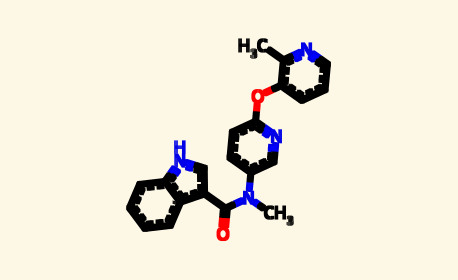 Cc1ncccc1Oc1ccc(N(C)C(=O)c2c[nH]c3ccccc23)cn1